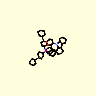 c1ccc(-c2ccc(N(c3ccc(-c4ccccc4)cc3)c3ccccc3-c3ccccc3-n3c4ccccc4c4cccc(-c5ccccc5)c43)cc2)cc1